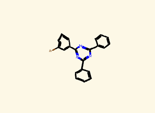 Brc1cc[c]c(-c2nc(-c3ccccc3)nc(-c3ccccc3)n2)c1